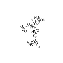 C[C@H](NC(=O)CCN1C(=O)C=CC1=O)C(=O)N[C@@H](CCCNC(N)O)C(=O)Nc1ccc(COC(=O)C(C)(C)S)cc1